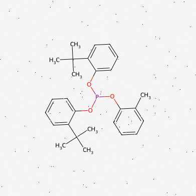 Cc1ccccc1OP(Oc1ccccc1C(C)(C)C)Oc1ccccc1C(C)(C)C